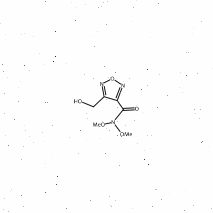 CON(OC)C(=O)c1nonc1CO